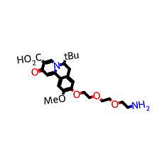 COc1cc2c(cc1OCCOCCOCCN)CC(C(C)(C)C)n1cc(C(=O)O)c(=O)cc1-2